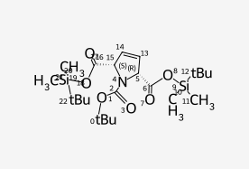 CC(C)(C)OC(=O)N1[C@@H](C(=O)O[Si](C)(C)C(C)(C)C)C=C[C@H]1C(=O)O[Si](C)(C)C(C)(C)C